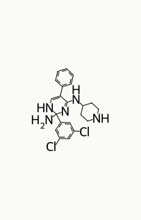 NC1(c2cc(Cl)cc(Cl)c2)N=C(NC2CCNCC2)C(c2ccccc2)=CN1